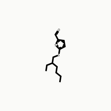 CCCCC(CC)CSc1ccc(C=O)s1